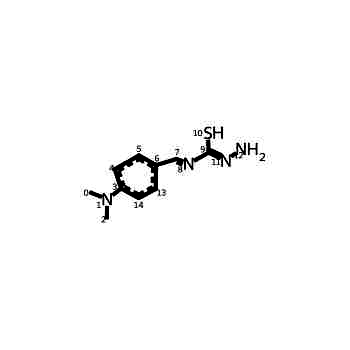 CN(C)c1ccc(C=NC(S)=NN)cc1